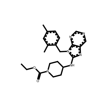 CCOC(=O)N1CCC(Nc2nc3cncnc3n2Cc2ccc(C)cc2C)CC1